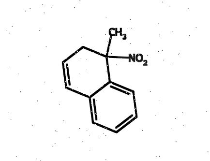 CC1([N+](=O)[O-])CC=Cc2ccccc21